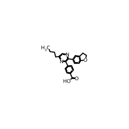 CCCCc1cnc(-c2ccc3c(c2)CCO3)c(-c2ccc(C(=O)O)cc2)n1